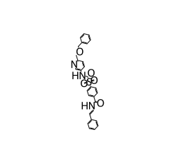 O=C(NC=Cc1ccccc1)c1ccc(S(=O)(=O)C(=O)Nc2ccc(COCc3ccccc3)nc2)cc1